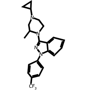 CC1CN(C2CC2)CCN1c1nn(-c2ccc(C(F)(F)F)cc2)c2ccccc12